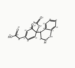 CC(=O)OC1(C2CNSc3ccccc32)C=CC(CC(=O)O)=CC1=O